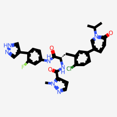 CC(C)n1cc(-c2ccc(Cl)c(C[C@H](NC(=O)c3ccnn3C)C(=O)Nc3ccc(-c4cn[nH]c4)c(F)c3)c2)ccc1=O